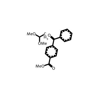 COC(=O)c1ccc(C(=O)c2ccccc2)cc1.COC(C)OC